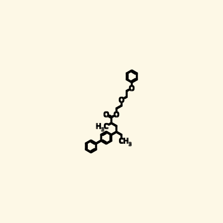 CCC(CC(C)C(=O)OCCOCCOc1ccccc1)c1ccc(-c2ccccc2)cc1